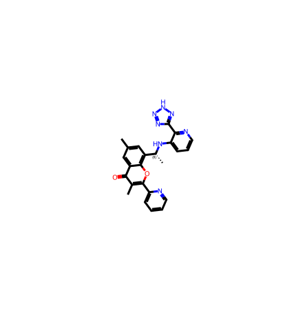 Cc1cc([C@@H](C)Nc2cccnc2-c2nn[nH]n2)c2oc(-c3ccccn3)c(C)c(=O)c2c1